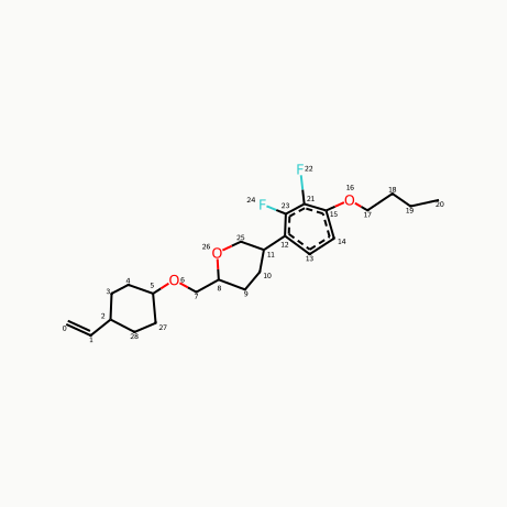 C=CC1CCC(OCC2CCC(c3ccc(OCCCC)c(F)c3F)CO2)CC1